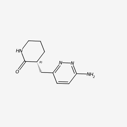 Nc1ccc(C[C@H]2CCCNC2=O)nn1